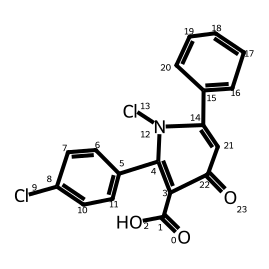 O=C(O)c1c(-c2ccc(Cl)cc2)n(Cl)c(-c2ccccc2)cc1=O